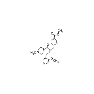 COC(=O)c1ccc(CN(CCc2ccccc2OC)C(=O)N2CCN(C)CC2)cc1